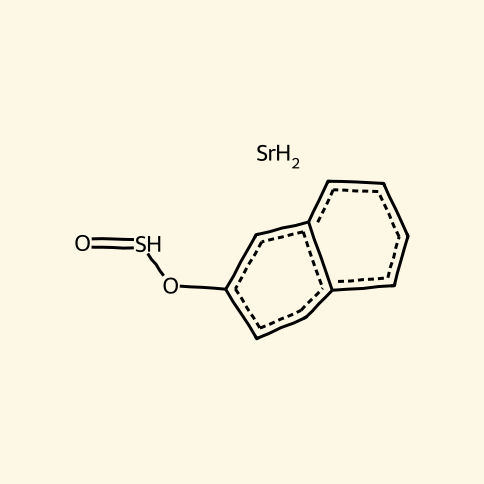 O=[SH]Oc1ccc2ccccc2c1.[SrH2]